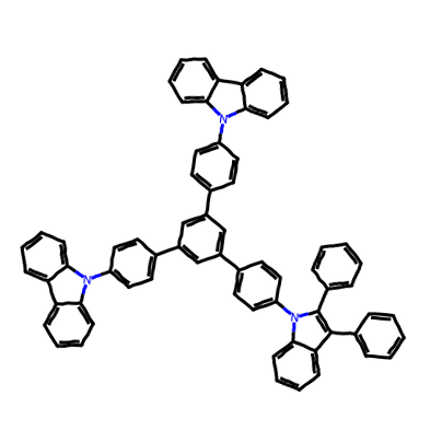 c1ccc(-c2c(-c3ccccc3)n(-c3ccc(-c4cc(-c5ccc(-n6c7ccccc7c7ccccc76)cc5)cc(-c5ccc(-n6c7ccccc7c7ccccc76)cc5)c4)cc3)c3ccccc23)cc1